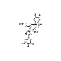 CCO[C@H]1C[SH](c2ccc(Cl)c(Cl)c2)[C@H](CO)[C@H](O)[C@@H]1n1cc(-c2cc(F)c(F)c(F)c2)nn1